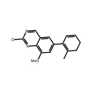 COc1cc(C2=C(C)CCC=C2)cc2cnc(Cl)nc12